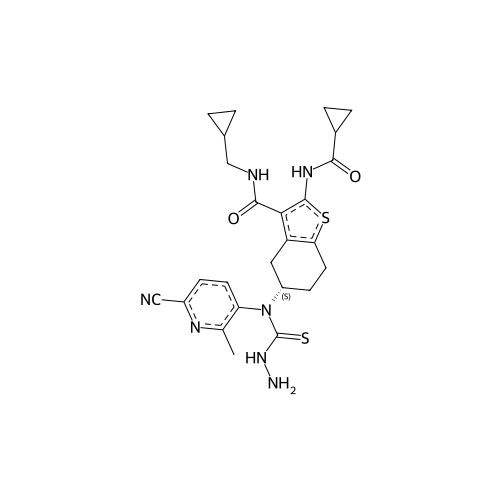 Cc1nc(C#N)ccc1N(C(=S)NN)[C@H]1CCc2sc(NC(=O)C3CC3)c(C(=O)NCC3CC3)c2C1